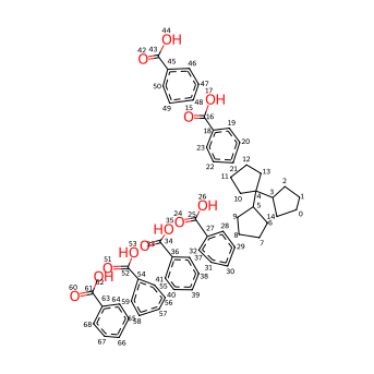 C1CCC(C2(C3CCCC3)CCCC2)C1.O=C(O)c1ccccc1.O=C(O)c1ccccc1.O=C(O)c1ccccc1.O=C(O)c1ccccc1.O=C(O)c1ccccc1.O=C(O)c1ccccc1